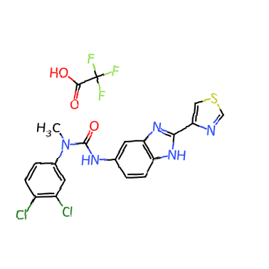 CN(C(=O)Nc1ccc2[nH]c(-c3cscn3)nc2c1)c1ccc(Cl)c(Cl)c1.O=C(O)C(F)(F)F